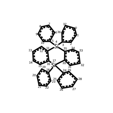 c1ccc([Si]2(c3ccccc3)c3ccccc3[Si](c3ccccc3)(c3ccccc3)c3ccccc32)cc1